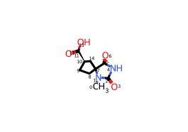 CN1C(=O)NC(=O)C12CC[C@@H](C(=O)O)C2